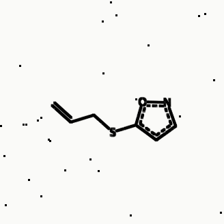 C=CCSc1ccno1